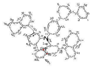 c1ccc(-c2cccc(-c3ccc(N(c4cccc(-c5cccc6ccccc56)c4)c4cc(-c5cccc6ccccc56)ccc4-c4ccccc4)cc3)c2)cc1